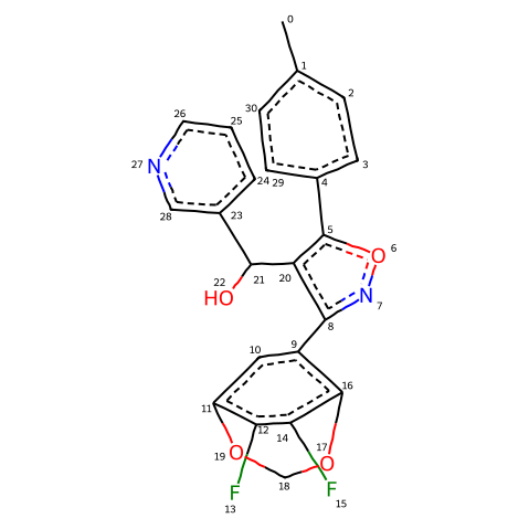 Cc1ccc(-c2onc(-c3cc4c(F)c(F)c3OCO4)c2C(O)c2cccnc2)cc1